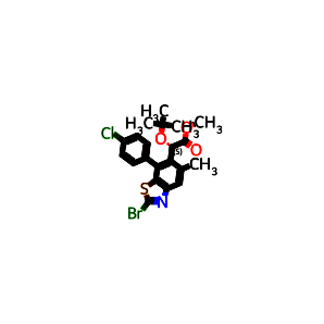 COC(=O)[C@@H](OC(C)(C)C)c1c(C)cc2nc(Br)sc2c1-c1ccc(Cl)cc1